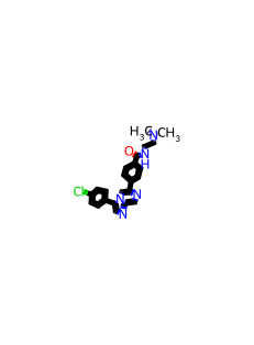 CN(C)CCNC(=O)c1ccc(-c2cn3c(-c4ccc(Cl)cc4)cnc3cn2)cc1